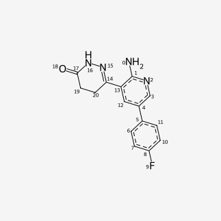 Nc1ncc(-c2ccc(F)cc2)cc1C1=NNC(=O)CC1